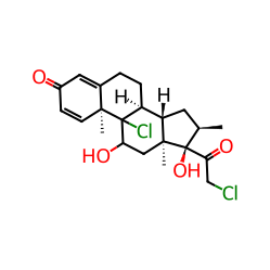 C[C@@H]1C[C@H]2[C@@H]3CCC4=CC(=O)C=C[C@]4(C)C3(Cl)C(O)C[C@]2(C)[C@@]1(O)C(=O)CCl